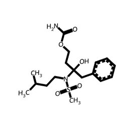 CC(C)CCN(C(O)(CCOC(N)=O)Cc1ccccc1)S(C)(=O)=O